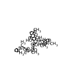 CC[C@H]1OCCN2[C@@H]1O[C@@H]1[C@H](C)O[C@@H](O[C@H]3C[C@](O)(C(=O)COC(=O)N(C)CCN(C)C(=O)OCC(C)SSc4ccccn4)Cc4c(O)c5c(c(O)c43)C(=O)c3c(OC)cccc3C5=O)C[C@@H]12